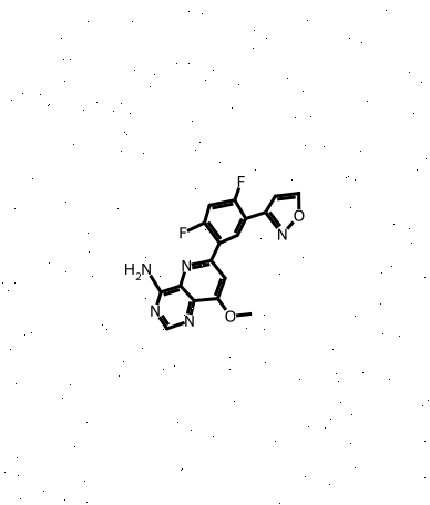 COc1cc(-c2cc(-c3ccon3)c(F)cc2F)nc2c(N)ncnc12